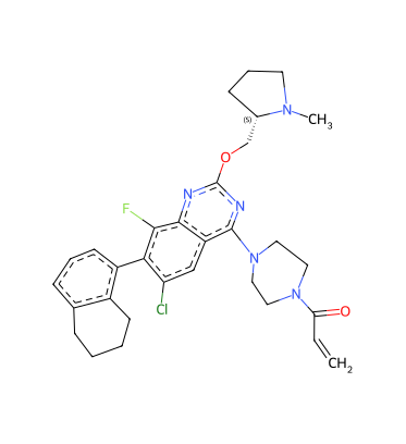 C=CC(=O)N1CCN(c2nc(OC[C@@H]3CCCN3C)nc3c(F)c(-c4cccc5c4CCCC5)c(Cl)cc23)CC1